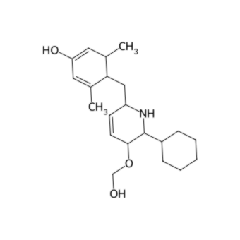 CC1=CC(O)=CC(C)C1CC1C=CC(OCO)C(C2CCCCC2)N1